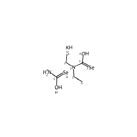 CCN(CC)C(O)=[Se].NC(O)=[Se].[KH]